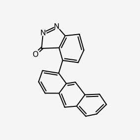 O=C1N=Nc2cccc(-c3cccc4cc5ccccc5cc34)c21